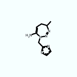 CC1CC=C(N)N(Cc2nccs2)N=N1